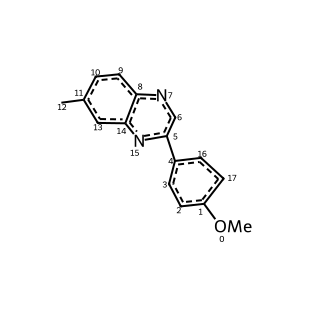 COc1ccc(-c2cnc3ccc(C)cc3n2)cc1